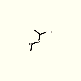 CBOC(C)C=O